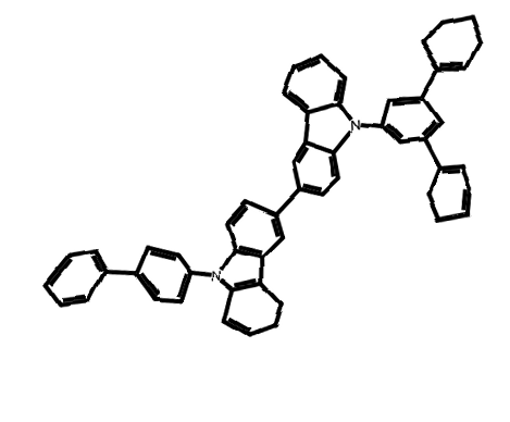 C1=CCCC(c2cc(C3=CCCCC3)cc(-n3c4ccccc4c4cc(-c5ccc6c(c5)c5c(n6-c6ccc(-c7ccccc7)cc6)C=CCC5)ccc43)c2)=C1